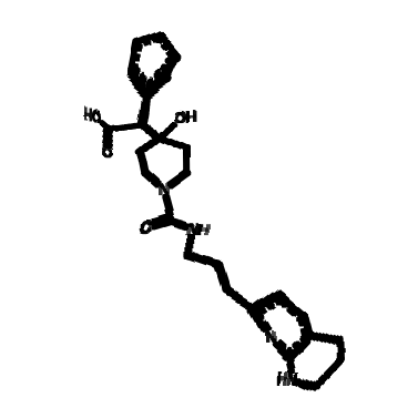 O=C(O)C(c1ccccc1)C1(O)CCN(C(=O)NCCCc2ccc3c(n2)NCCC3)CC1